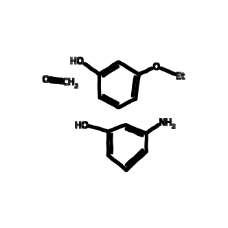 C=O.CCOc1cccc(O)c1.Nc1cccc(O)c1